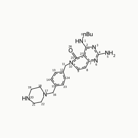 CCCCNc1nc(N)nc2ccn(Cc3ccc(CN4CCNCC4)cc3)c(=O)c12